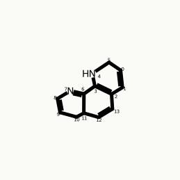 C1=CC2=C(NC1)C1=NC=CCC1C=C2